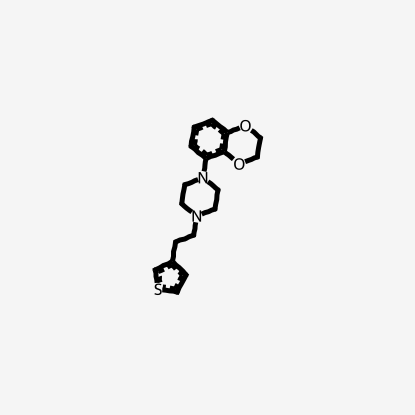 c1cc2c(c(N3CCN(CCc4ccsc4)CC3)c1)OCCO2